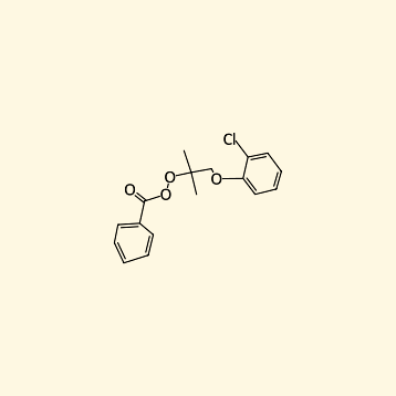 CC(C)(COc1ccccc1Cl)OOC(=O)c1ccccc1